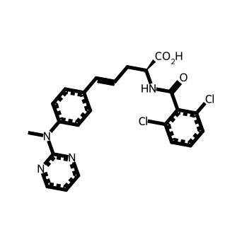 CN(c1ccc(/C=C/C[C@H](NC(=O)c2c(Cl)cccc2Cl)C(=O)O)cc1)c1ncccn1